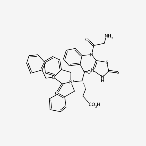 NCC(=O)N(c1n[nH]c(=S)s1)c1ccccc1C(=O)[C@H](CCC(=O)O)[N+](Cc1ccccc1)(Cc1ccccc1)C(=O)OCc1ccccc1